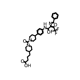 O=C(O)CCCC1CCN(C(=O)N2CCC(c3ccc(NC(=O)c4nc(-c5ccccc5)oc4C(F)(F)F)cc3)CC2)CC1